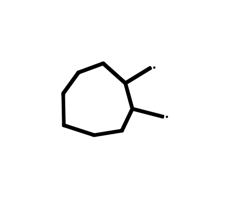 [CH2]C1CCCCCCC1[CH2]